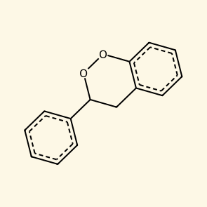 c1ccc(C2Cc3ccccc3OO2)cc1